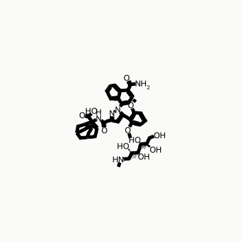 CNC[C@H](O)[C@@H](O)[C@H](O)[C@H](O)CO.COc1cccc(OC)c1-c1cc(C(=O)NC2(C(=O)O)C3CC4CC(C3)CC2C4)nn1-c1ccc(C(N)=O)c2ccccc12